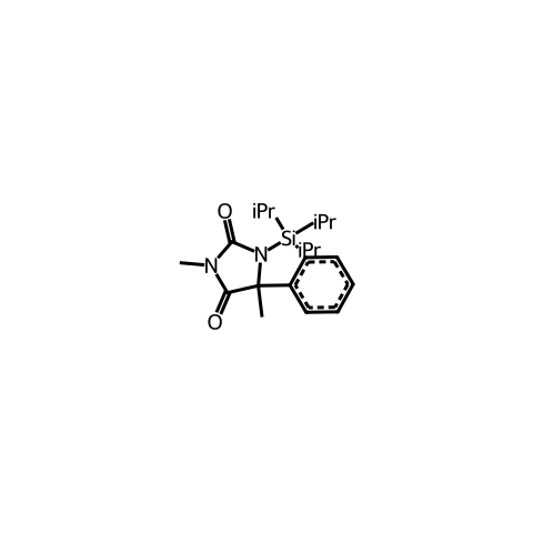 CC(C)[Si](C(C)C)(C(C)C)N1C(=O)N(C)C(=O)C1(C)c1ccccc1